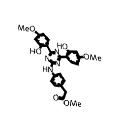 COC(=O)Cc1ccc(Nc2nc(-c3ccc(OC)cc3O)nc(-c3ccc(OC)cc3O)n2)cc1